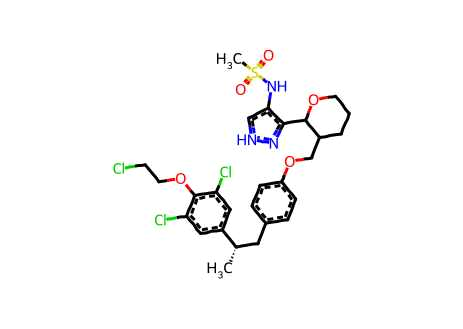 C[C@@H](Cc1ccc(OCC2CCCOC2c2n[nH]cc2NS(C)(=O)=O)cc1)c1cc(Cl)c(OCCCl)c(Cl)c1